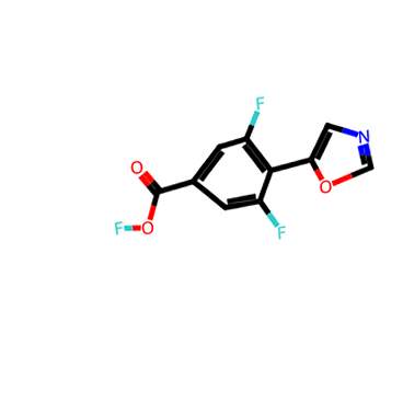 O=C(OF)c1cc(F)c(-c2cnco2)c(F)c1